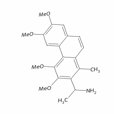 COc1cc2ccc3c(C)c(C(C)N)c(OC)c(OC)c3c2cc1OC